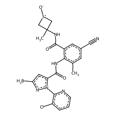 Bc1cc(C(=O)Nc2c(C)cc(C#N)cc2C(=O)NC2(C)C[S+]([O-])C2)n(-c2ncccc2Cl)n1